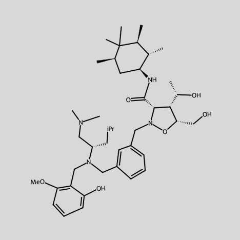 COc1cccc(O)c1CN(Cc1cccc(CN2O[C@@H](CO)[C@@H]([C@H](C)O)[C@H]2C(=O)N[C@H]2C[C@@H](C)C(C)(C)[C@@H](C)[C@@H]2C)c1)[C@@H](CC(C)C)CN(C)C